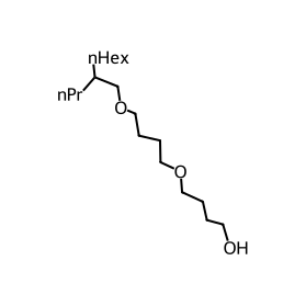 CCCCCCC(CCC)COCCCCOCCCCO